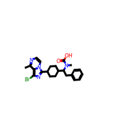 Cc1nccn2c(C3CCC(C(Cc4ccccc4)N(C)C(=O)O)CC3)nc(Br)c12